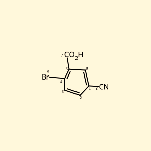 N#Cc1ccc(Br)c(C(=O)O)c1